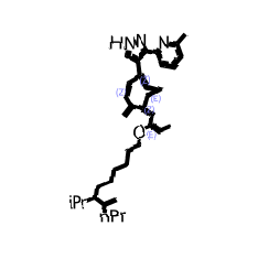 C=C1\C=C/C(c2c[nH]nc2-c2cccc(C)n2)=C/C=C/C1=C/C(=C\C)OCCCCCCC(C(=C)CCC)C(C)C